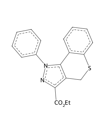 CCOC(=O)c1nn(-c2ccccc2)c2c1CSc1ccccc1-2